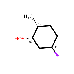 C[C@@H]1CC[C@@H](I)C[C@@H]1O